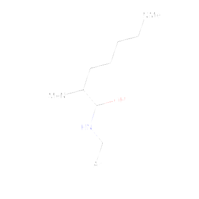 CNCCCCC(NC)C(O)NCC(C)=O